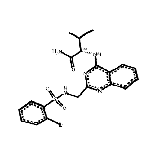 CC(C)[C@H](Nc1nc(CNS(=O)(=O)c2ccccc2Br)nc2ccccc12)C(N)=O